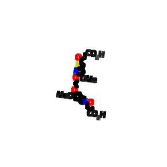 COc1cc2c(cc1OCCCOc1nc3sc(C(=O)CCC(=O)O)cc3cc1OC)CN(C(=O)CC(C)C(=O)O)C2